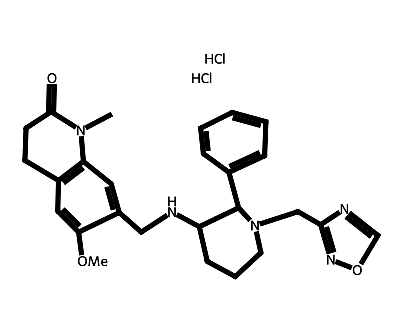 COc1cc2c(cc1CNC1CCCN(Cc3ncon3)C1c1ccccc1)N(C)C(=O)CC2.Cl.Cl